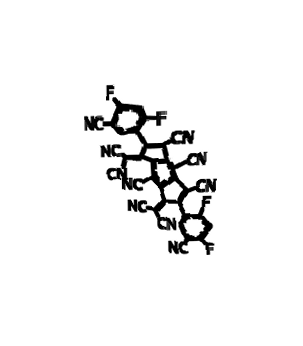 N#CC(C#N)=C1C(c2cc(C#N)c(F)cc2F)=C(C#N)c2c(C#N)c3c(c(C#N)c21)C(=C(C#N)C#N)C(c1cc(C#N)c(F)cc1F)=C3C#N